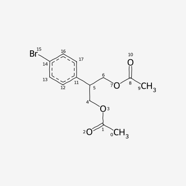 CC(=O)OCC(COC(C)=O)c1ccc(Br)cc1